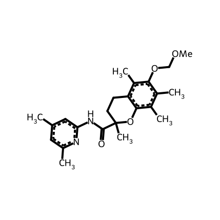 COCOc1c(C)c(C)c2c(c1C)CCC(C)(C(=O)Nc1cc(C)cc(C)n1)O2